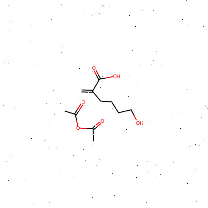 C=C(CCCCO)C(=O)O.CC(=O)OC(C)=O